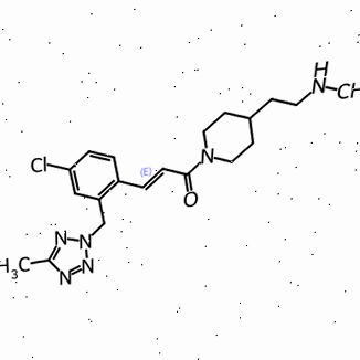 CNCCC1CCN(C(=O)/C=C/c2ccc(Cl)cc2Cn2nnc(C)n2)CC1